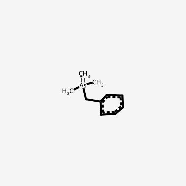 C[AsH](C)(C)Cc1ccccc1